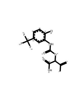 C=C(C)C(OC(=O)Nc1cc(C(F)(F)F)ccc1Cl)C(=O)O